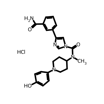 CN(C(=O)n1cnc(-c2cccc(C(N)=O)c2)c1)C1CCN(c2ccc(O)cc2)CC1.Cl